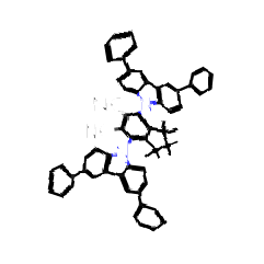 CC1(C)c2c(-n3c4ccc(-c5ccccc5)cc4c4cc(-c5ccccc5)ccc43)c(C#N)c(C#N)c(-n3c4ccc(-c5ccccc5)cc4c4cc(-c5ccccc5)ccc43)c2C(C)(C)C1(C)C